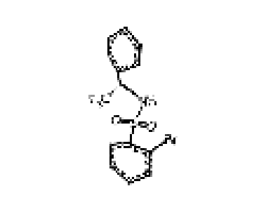 O=S(=O)(N[C@@H](c1ccccc1)C(F)(F)F)c1ccccc1Br